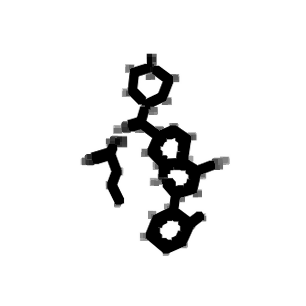 CCCC(=O)O.Cc1ccccc1-c1cc(Cl)c2ccc(C(=O)N3CCNCC3)cc2n1